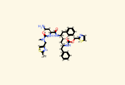 CC(C)c1nc(CN(C)C(=O)N[C@@H](CCN)C(=O)N[C@H](CC[C@H](Cc2ccccc2)NC(=O)OCc2nccs2)Cc2ccccc2)cs1